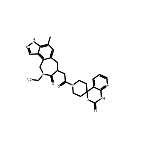 Cc1cc2c(c3cn[nH]c13)CN(CC(F)(F)F)C(=O)C(CC(=O)N1CCC3(CC1)OC(=O)Nc1ncccc13)C2